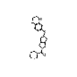 O=C(C1CCCOC1)N1CC2=C(CN(Sc3ccc4c(c3)NCCO4)C2)C1